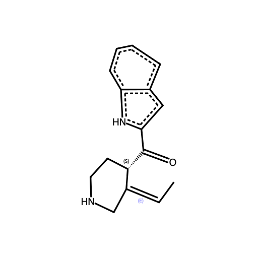 C/C=C1/CNCC[C@@H]1C(=O)c1cc2ccccc2[nH]1